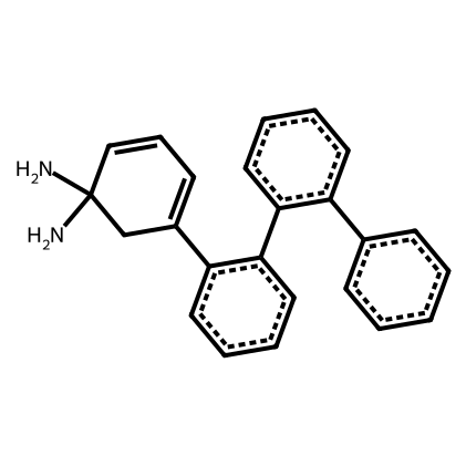 NC1(N)C=CC=C(c2ccccc2-c2ccccc2-c2ccccc2)C1